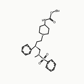 CN(C[C@H](CCN1CCC(NC(=O)OC(C)(C)C)CC1)c1ccccc1)S(=O)(=O)c1ccccc1